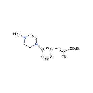 CCOC(=O)C(C#N)=Cc1cccc(N2CCN(C)CC2)c1